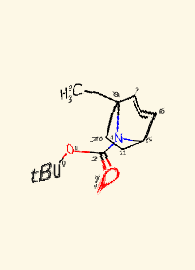 CC(C)(C)OC(=O)N1C2C=CC1(C)CC2